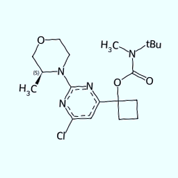 C[C@H]1COCCN1c1nc(Cl)cc(C2(OC(=O)N(C)C(C)(C)C)CCC2)n1